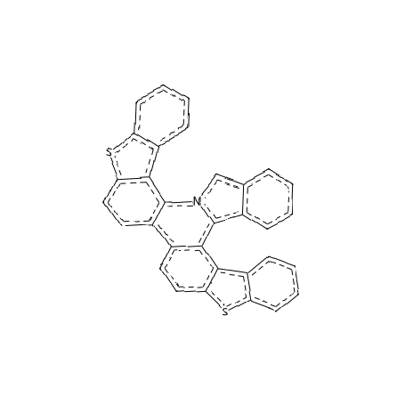 c1ccc2c(c1)cn1c3c(ccc4sc5ccccc5c43)c3ccc4sc5ccccc5c4c3c21